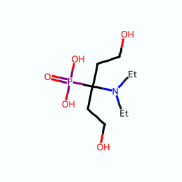 CCN(CC)C(CCO)(CCO)P(=O)(O)O